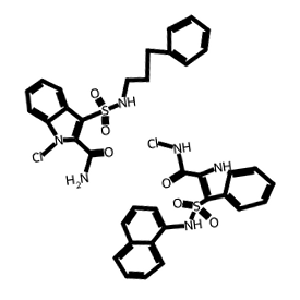 NC(=O)c1c(S(=O)(=O)NCCCc2ccccc2)c2ccccc2n1Cl.O=C(NCl)c1[nH]c2ccccc2c1S(=O)(=O)Nc1cccc2ccccc12